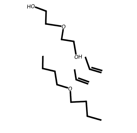 C=CC.C=CC.CCCCOCCCC.OCCOCCO